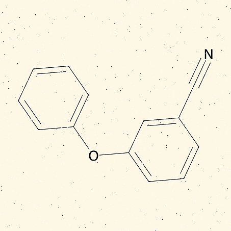 N#Cc1cccc(Oc2ccccc2)c1